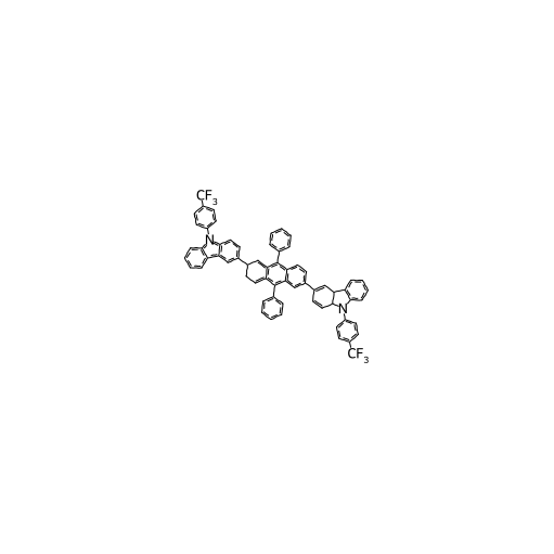 FC(F)(F)c1ccc(N2c3ccccc3C3C=C(c4ccc5c(-c6ccccc6)c6c(c(-c7ccccc7)c5c4)=CCC(c4ccc5c(c4)c4ccccc4n5-c4ccc(C(F)(F)F)cc4)C=6)C=CC32)cc1